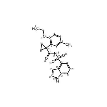 CCOc1ccc(C)cc1C1(C(=O)NS(=O)(=O)c2cccc3[nH]ccc23)CC1